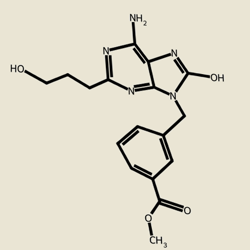 COC(=O)c1cccc(Cn2c(O)nc3c(N)nc(CCCO)nc32)c1